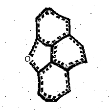 c1cc2ccc3cccc4oc(c1)c2c34